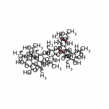 CC(=N)NC1C(OC2C(O)C(C)OC(OC3C(C(=O)O)OC(O)C(NC(C)=O)C3NC(=O)C[C@@H](C)O)C2NC(C)=O)OC(C)C(OC2OC(C(=O)O)C(OC3OC(C)C(O)C(O)C3NC(C)=O)C(NC(=O)C[C@@H](C)O)C2NC(C)=O)C1OC(C)=O